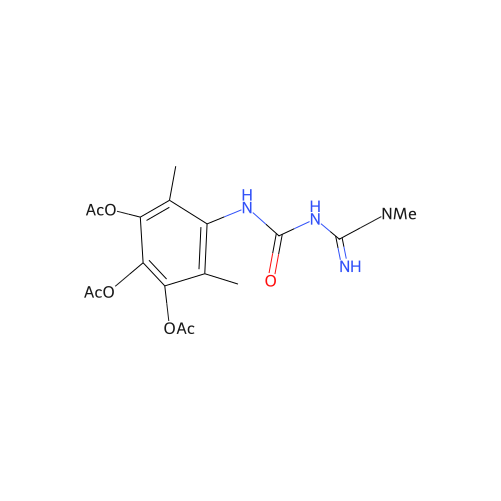 CNC(=N)NC(=O)Nc1c(C)c(OC(C)=O)c(OC(C)=O)c(OC(C)=O)c1C